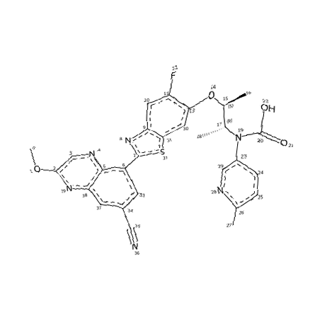 COc1cnc2c(-c3nc4cc(F)c(O[C@@H](C)[C@@H](C)N(C(=O)O)c5ccc(C)nc5)cc4s3)cc(C#N)cc2n1